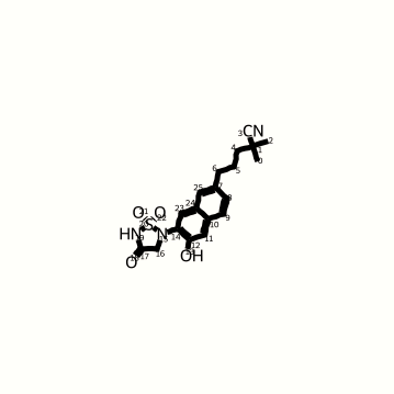 CC(C)(C#N)CCCc1ccc2cc(O)c(N3CC(=O)NS3(=O)=O)cc2c1